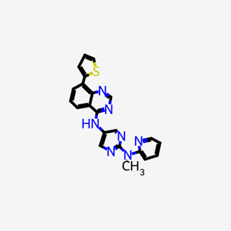 CN(c1ccccn1)c1ncc(Nc2ncnc3c(-c4cccs4)cccc23)cn1